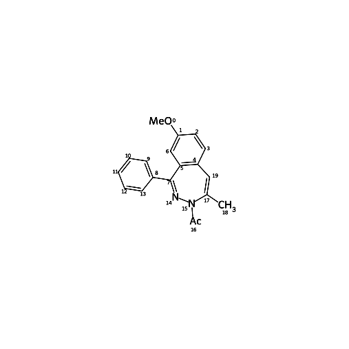 COc1ccc2c(c1)C(c1ccccc1)=NN(C(C)=O)C(C)=C2